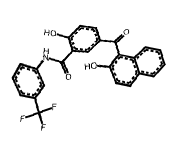 O=C(Nc1cccc(C(F)(F)F)c1)c1cc(C(=O)c2c(O)ccc3ccccc23)ccc1O